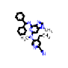 CCc1cc(C#N)ncc1N(C)c1cc2c(ncn2C)c(N=C(c2ccccc2)c2ccccc2)n1